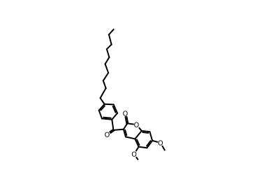 CCCCCCCCCCc1ccc(C(=O)c2cc3c(OC)cc(OC)cc3oc2=O)cc1